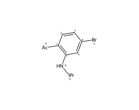 CC(=O)c1ccc(Br)cc1NC(C)C